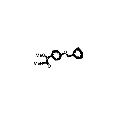 CNC(=O)N(OC)c1ccc(OCc2ccccc2)cc1